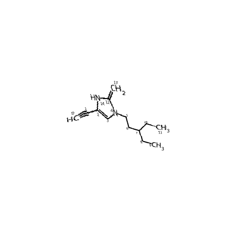 C#CC1=CN(CCC(CC)CC)C(=C)N1